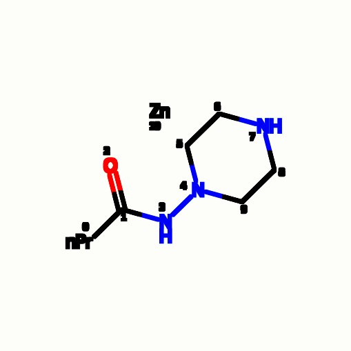 CCCC(=O)NN1CCNCC1.[Zn]